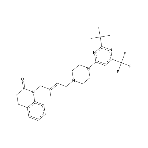 C/C(=C\CN1CCN(c2cc(C(F)(F)F)nc(C(C)(C)C)n2)CC1)CN1C(=O)CCc2ccccc21